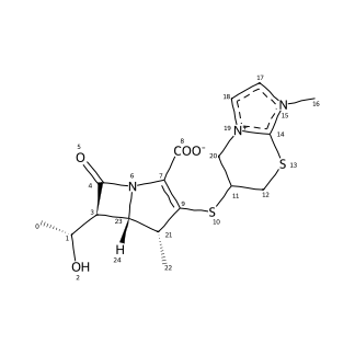 C[C@@H](O)[C@H]1C(=O)N2C(C(=O)[O-])=C(SC3CSc4n(C)cc[n+]4C3)[C@H](C)[C@H]12